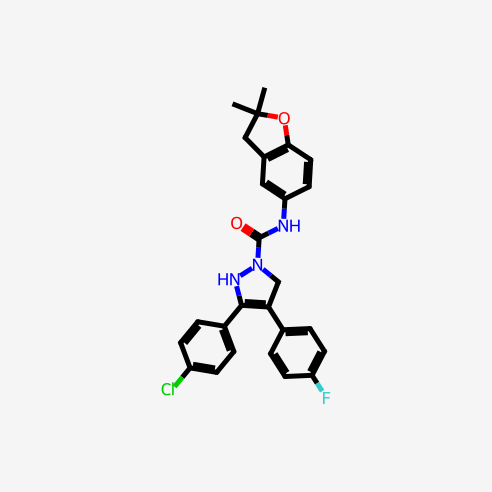 CC1(C)Cc2cc(NC(=O)N3CC(c4ccc(F)cc4)=C(c4ccc(Cl)cc4)N3)ccc2O1